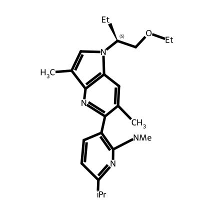 CCOC[C@H](CC)n1cc(C)c2nc(-c3ccc(C(C)C)nc3NC)c(C)cc21